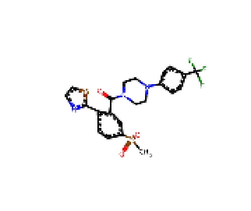 CS(=O)(=O)c1ccc(-c2nccs2)c(C(=O)N2CCN(c3ccc(C(F)(F)F)cc3)CC2)c1